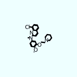 COc1ccc(N(C)c2ccc3cccc(Cl)c3n2)cc1OCCN1CCCCC1